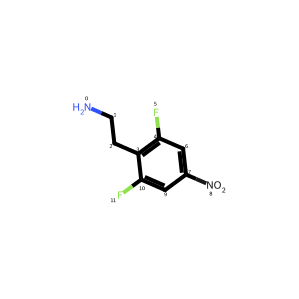 NCCc1c(F)cc([N+](=O)[O-])cc1F